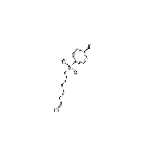 O=CCCCCCS(=O)(=O)c1ccc(F)cc1